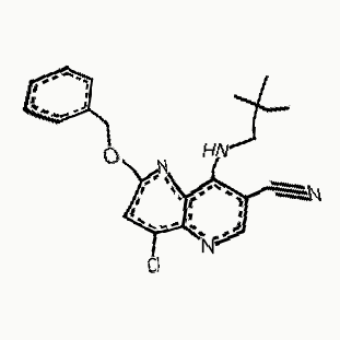 CC(C)(C)CNc1c(C#N)cnc2c(Cl)cc(OCc3ccccc3)nc12